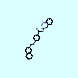 O=C(N[C@H](CO)Cc1ccccc1)c1ccc(OCc2ccc3ccccc3c2)cc1